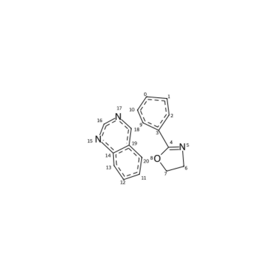 c1ccc(C2=NCCO2)cc1.c1ccc2ncncc2c1